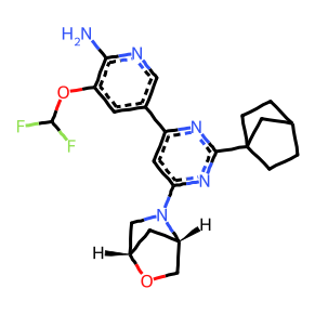 Nc1ncc(-c2cc(N3C[C@@H]4C[C@H]3CO4)nc(C34CCC(CC3)C4)n2)cc1OC(F)F